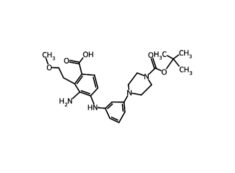 COCCc1c(C(=O)O)ccc(Nc2cccc(N3CCN(C(=O)OC(C)(C)C)CC3)c2)c1N